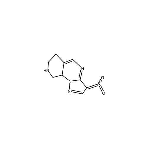 O=S(=O)=C1C=NN2C1=NC=C1CCNCC12